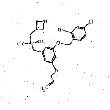 C=CCOc1cc(C[N+](C)(C)CC2CNC2)cc(OCc2ccc(Cl)cc2Br)c1